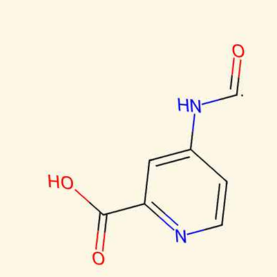 O=[C]Nc1ccnc(C(=O)O)c1